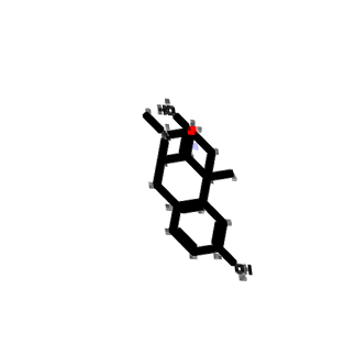 CN1CCC2(C)/C(=N/O)C1Cc1ccc(O)cc12